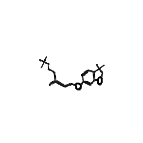 CC(=CCOc1ccc2c(c1)OCC2(C)C)CCCC(C)(C)C